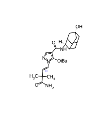 CC(C)COc1c(C(=O)N[C@H]2C3CC4CC2C[C@](O)(C4)C3)cnn1/C=C/C(C)(C)C(N)=O